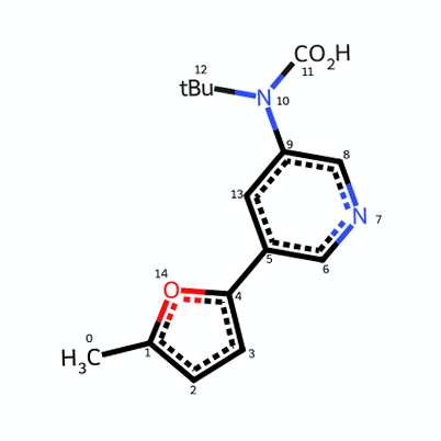 Cc1ccc(-c2cncc(N(C(=O)O)C(C)(C)C)c2)o1